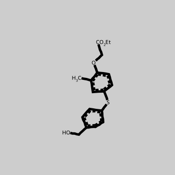 CCOC(=O)COc1ccc(Sc2ccc(CO)cc2)cc1C